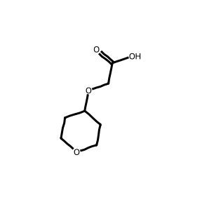 O=C(O)COC1CCOCC1